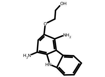 Nc1cc(OCCO)c(N)c2c1[nH]c1ccccc12